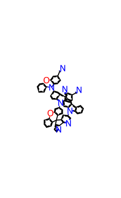 N#Cc1ccc2c(c1)Oc1ccccc1N2c1ccc2c(c1)c1cc(C#N)ccc1n2-c1ccc2c(c1)Oc1ccccc1C21c2cccnc2-c2ncc(-n3c4ccccc4c4cc(C#N)ccc43)cc21